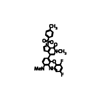 CNc1ccc(-c2cn(C)c(=O)c3c2ccn3S(=O)(=O)c2ccc(C)cc2)c(Oc2ccc(F)cc2F)c1N